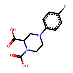 O=C(O)C1CN(c2ccc(F)cc2)CCN1C(=O)O